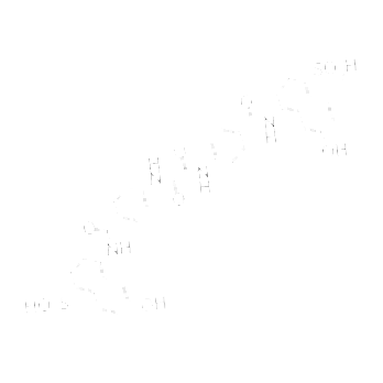 O=C(Nc1ccc(C(=O)Nc2ccc(S(=O)(=O)O)c3ccc(O)cc23)cc1)C(=O)Nc1ccc(C(=O)Nc2ccc(S(=O)(=O)O)c3ccc(O)cc23)cc1